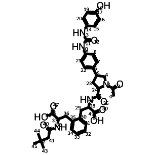 CC(=O)N1CC(c2ccc(NC(=O)Nc3ccc(O)cc3)cc2)CC1C(=O)NC(Cc1ccccc1CC(NC(=O)CC(C)(C)C)C(=O)O)C(=O)O